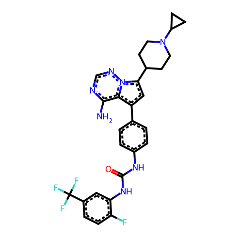 Nc1ncnn2c(C3CCN(C4CC4)CC3)cc(-c3ccc(NC(=O)Nc4cc(C(F)(F)F)ccc4F)cc3)c12